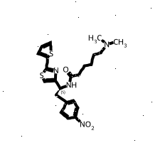 CN(C)CCCC[CH]C(=O)N[C@@H](Cc1ccc([N+](=O)[O-])cc1)c1csc(-c2cccs2)n1